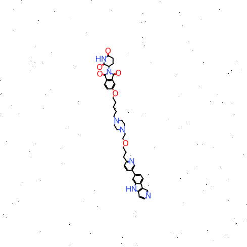 O=C1CCC(N2C(=O)c3ccc(OCCCCCN4CCN(CCOCCCc5ccc(-c6ccc7c(c6)[nH]c6ccncc67)cn5)CC4)cc3C2=O)C(=O)N1